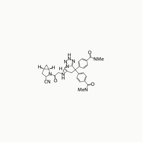 CNC(=O)c1ccc(C(C[C@H](C)NCC(=O)N2C(C#N)C[C@@H]3C[C@@H]32)(c2ccc(C(=O)NC)cc2)c2nn[nH]n2)cc1